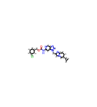 O=C(Nc1cc2c(cn1)nnn2Cc1cn2cc(C3CC3)ccc2n1)OCc1cccc(Cl)c1